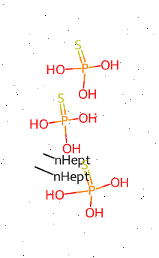 CCCCCCCC.CCCCCCCC.OP(O)(O)=S.OP(O)(O)=S.OP(O)(O)=S